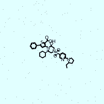 CCC1CCCN1c1ccc(S(=O)(=O)N2CC(=O)N(c3cc(-c4ccccc4)sc3C(=O)O)[C@H](C3CCCCC3)C2)cn1